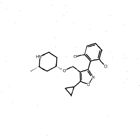 C[C@H]1C[C@@H](OCc2c(-c3c(Cl)cccc3Cl)noc2C2CC2)CCN1